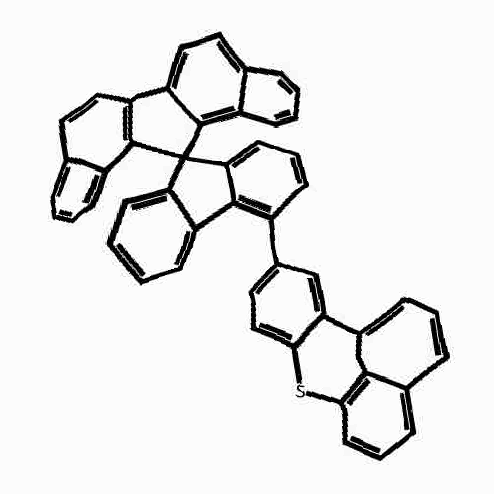 c1ccc2c(c1)-c1c(-c3ccc4c(c3)-c3cccc5cccc(c35)S4)cccc1C21c2c(ccc3ccccc23)-c2ccc3ccccc3c21